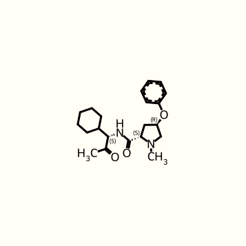 CC(=O)[C@@H](NC(=O)[C@@H]1C[C@@H](Oc2ccccc2)CN1C)C1CCCCC1